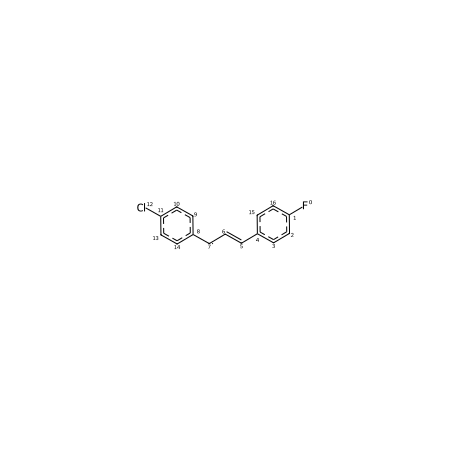 Fc1ccc(/C=C/[CH]c2ccc(Cl)cc2)cc1